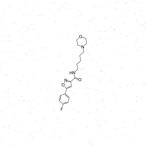 O=C(NCCCCCN1CCOCC1)c1cc(-c2ccc(F)cc2)on1